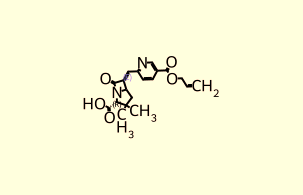 C=CCOC(=O)c1ccc(/C=C2/C(=O)N3C2CC(C)(C)[C@@H]3C(=O)O)nc1